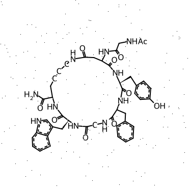 CC(=O)NCC(=O)NC1CC(=O)NCCCCC(C(N)=O)NC(=O)[C@H](Cc2c[nH]c3ccccc23)NC(=O)CNC(=O)C(Cc2ccccc2)NC(=O)[C@H](Cc2ccc(O)cc2)NC1=O